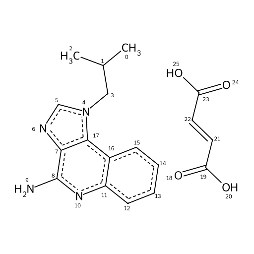 CC(C)Cn1cnc2c(N)nc3ccccc3c21.O=C(O)C=CC(=O)O